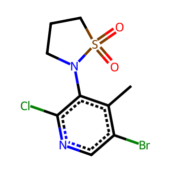 Cc1c(Br)cnc(Cl)c1N1CCCS1(=O)=O